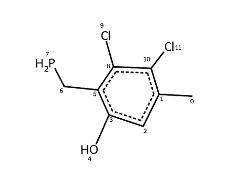 Cc1cc(O)c(CP)c(Cl)c1Cl